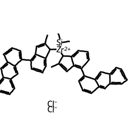 CC1=Cc2c(-c3cccc4cc5ccccc5cc34)cccc2[CH]1[Zr+2]([CH]1C(C)=Cc2c(-c3cccc4cc5ccccc5cc34)cccc21)=[Si](C)C.[Cl-].[Cl-]